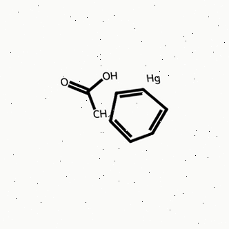 CC(=O)O.[Hg].c1ccccc1